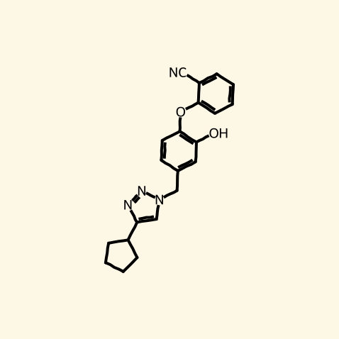 N#Cc1ccccc1Oc1ccc(Cn2cc(C3CCCC3)nn2)cc1O